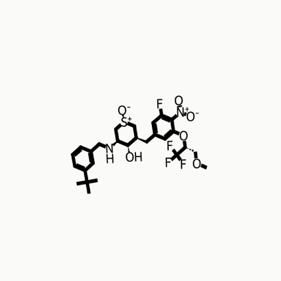 COC[C@@H](Oc1cc(C[C@@H]2C[S@@+]([O-])C[C@H](NCc3cccc(C(C)(C)C)c3)[C@H]2O)cc(F)c1[N+](=O)[O-])C(F)(F)F